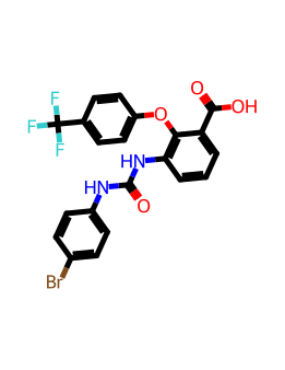 O=C(Nc1ccc(Br)cc1)Nc1cccc(C(=O)O)c1Oc1ccc(C(F)(F)F)cc1